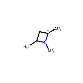 CC1C[C@@H](C)N1C